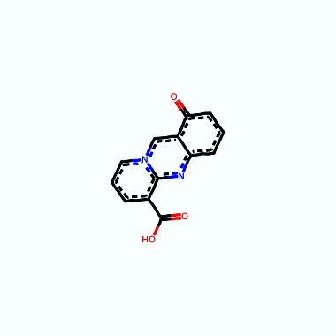 O=C(O)c1cccn2cc3c(=O)cccc-3nc12